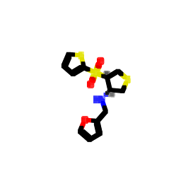 O=S(=O)(c1cccs1)[C@H]1CSC[C@@H]1NCc1ccco1